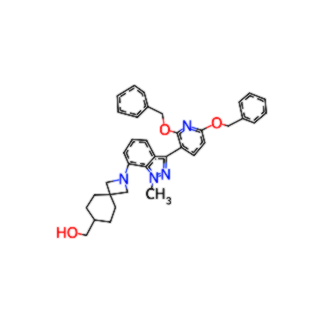 Cn1nc(-c2ccc(OCc3ccccc3)nc2OCc2ccccc2)c2cccc(N3CC4(CCC(CO)CC4)C3)c21